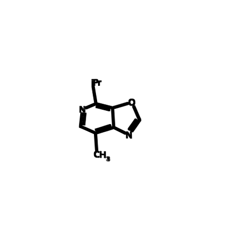 Cc1cnc(C(C)C)c2ocnc12